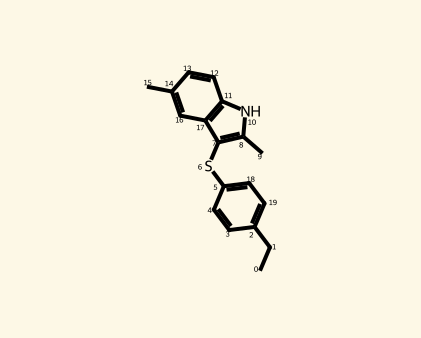 CCc1ccc(Sc2c(C)[nH]c3ccc(C)cc23)cc1